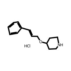 C(=Cc1ccccc1)COC1CCNCC1.Cl